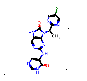 CC(c1ncc(F)cn1)n1c(=O)[nH]c2cnc(Nc3cnc[nH]c3=O)nc21